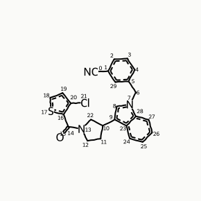 N#Cc1cccc(Cn2cc(C3CCN(C(=O)c4sccc4Cl)C3)c3ccccc32)c1